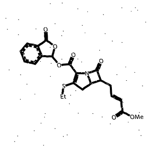 CCSC1=C(C(=O)OC2OC(=O)c3ccccc32)N2C(=O)C(CC=CC(=O)OC)C2C1